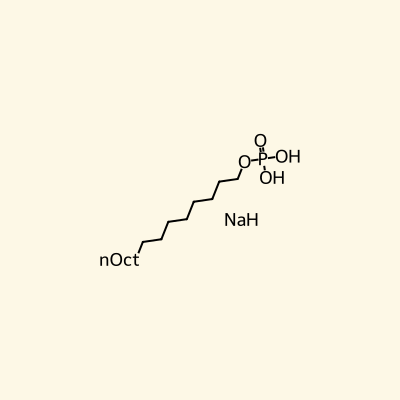 CCCCCCCCCCCCCCCCOP(=O)(O)O.[NaH]